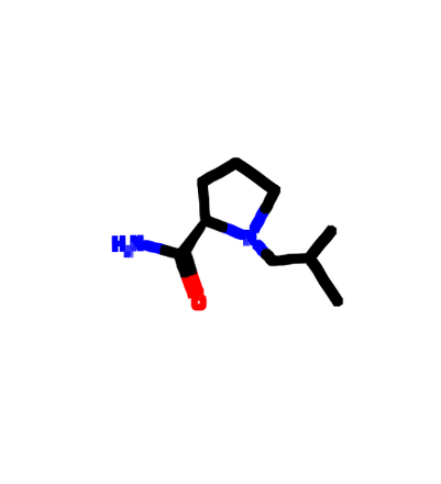 C[C](C)CN1CCC[C@@H]1C(N)=O